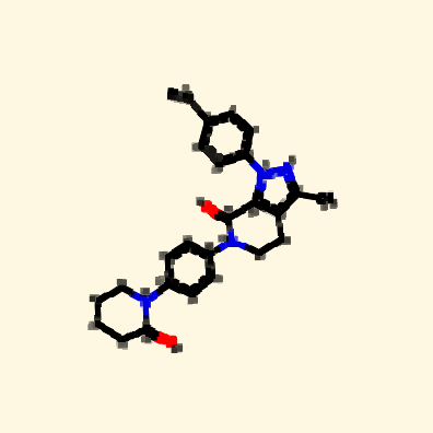 COc1ccc(-n2nc(C)c3c2C(=O)N(c2ccc(N4CCCCC4=O)cc2)CC3)cc1